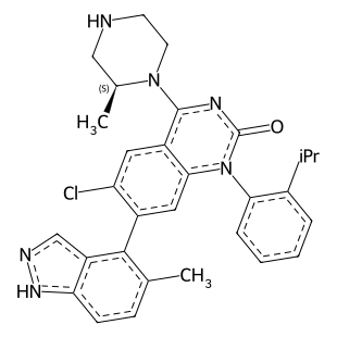 Cc1ccc2[nH]ncc2c1-c1cc2c(cc1Cl)c(N1CCNC[C@@H]1C)nc(=O)n2-c1ccccc1C(C)C